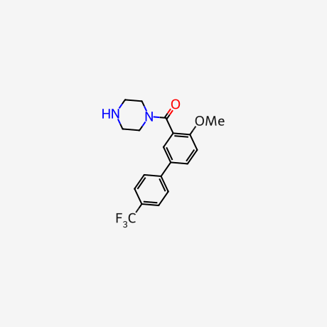 COc1ccc(-c2ccc(C(F)(F)F)cc2)cc1C(=O)N1CCNCC1